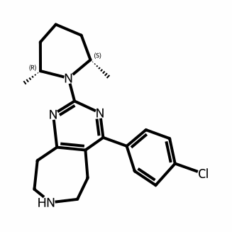 C[C@@H]1CCC[C@H](C)N1c1nc2c(c(-c3ccc(Cl)cc3)n1)CCNCC2